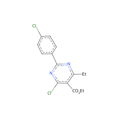 CCOC(=O)c1c(Cl)nc(-c2ccc(Cl)cc2)nc1CC